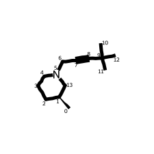 C[C@H]1CCCN(CC#CC(C)(C)C)C1